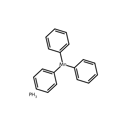 P.c1cc[c]([Mn]([c]2ccccc2)[c]2ccccc2)cc1